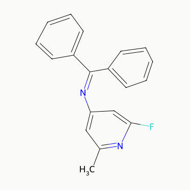 Cc1cc(N=C(c2ccccc2)c2ccccc2)cc(F)n1